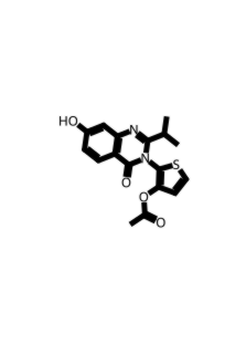 CC(=O)Oc1ccsc1-n1c(C(C)C)nc2cc(O)ccc2c1=O